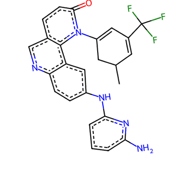 CC1C=C(C(F)(F)F)C=C(n2c(=O)ccc3cnc4ccc(Nc5cccc(N)n5)cc4c32)C1